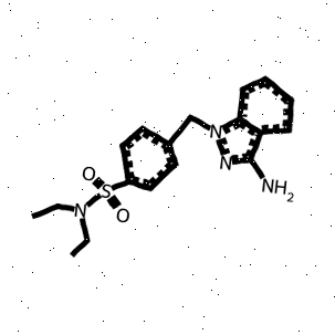 CCN(CC)S(=O)(=O)c1ccc(Cn2nc(N)c3ccccc32)cc1